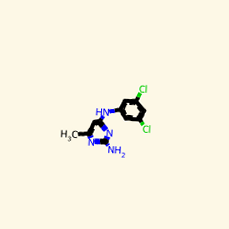 Cc1cc(Nc2cc(Cl)cc(Cl)c2)nc(N)n1